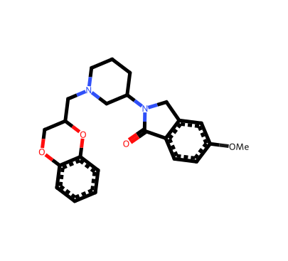 COc1ccc2c(c1)CN(C1CCCN(CC3COc4ccccc4O3)C1)C2=O